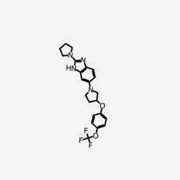 FC(F)(F)Oc1ccc(OC2CCN(c3ccc4nc(N5CCCC5)[nH]c4c3)C2)cc1